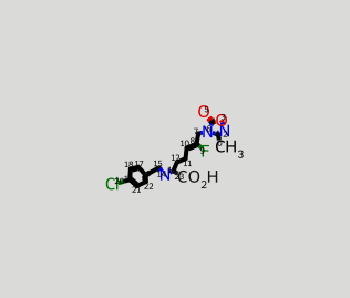 Cc1noc(=O)n1CC(F)=CCCC(N=Cc1ccc(Cl)cc1)C(=O)O